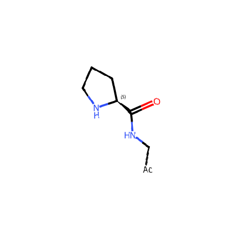 CC(=O)CNC(=O)[C@@H]1CCCN1